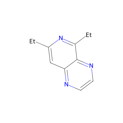 CCc1cc2nccnc2c(CC)n1